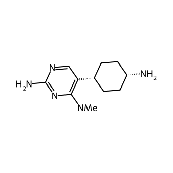 CNc1nc(N)ncc1[C@H]1CC[C@@H](N)CC1